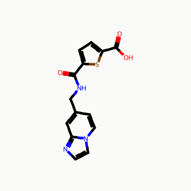 O=C(O)c1ccc(C(=O)NCc2ccn3ccnc3c2)s1